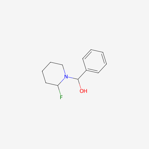 OC(c1ccccc1)N1CCCCC1F